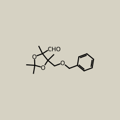 CC1(C)OC(C)(C=O)C(C)(COCc2ccccc2)O1